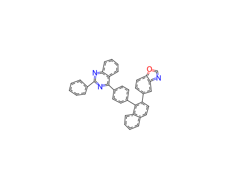 c1ccc(-c2nc(-c3ccc(-c4c(-c5ccc6ocnc6c5)ccc5ccccc45)cc3)c3ccccc3n2)cc1